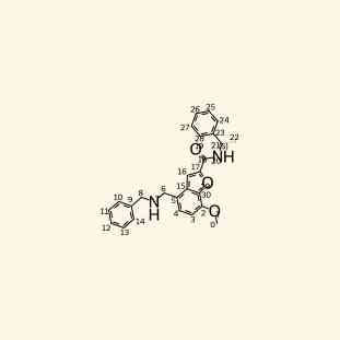 COc1ccc(CNCc2ccccc2)c2cc(C(=O)N[C@@H](C)c3ccccc3)oc12